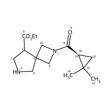 CCOC(=O)C1CNCC12CN(C(=O)[C@H]1CC1(C)C)C2